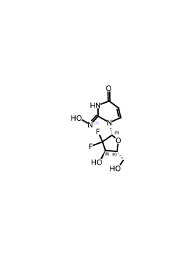 O=c1ccn([C@@H]2O[C@H](CO)[C@@H](O)C2(F)F)/c(=N/O)[nH]1